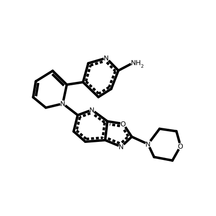 Nc1ccc(C2=CC=CCN2c2ccc3nc(N4CCOCC4)oc3n2)cn1